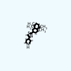 CC1(C)CCC(C)(C)C2CC(c3nc(C4CCNCC4)cs3)CCC21